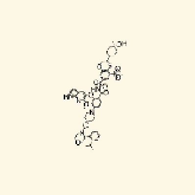 COc1nc2[nH]ccc2cc1Oc1cc(N2CCC3(CC2)CC(N2CCOC[C@@H]2c2ccccc2C(C)C)C3)ccc1C(=O)NS(=O)(=O)c1cc2c(c([N+](=O)[O-])c1)S[C@@H]([C@H]1CC[C@](C)(O)CC1)CO2